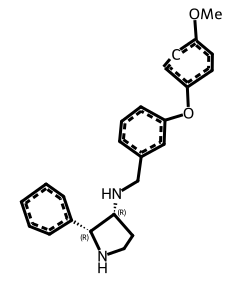 COc1ccc(Oc2cccc(CN[C@@H]3CCN[C@@H]3c3ccccc3)c2)cc1